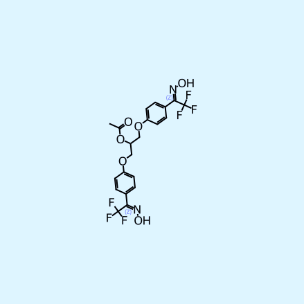 CC(=O)OC(COc1ccc(/C(=N/O)C(F)(F)F)cc1)COc1ccc(/C(=N/O)C(F)(F)F)cc1